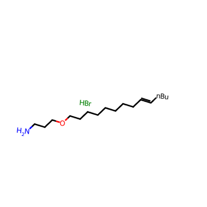 Br.CCCCC=CCCCCCCCCOCCCN